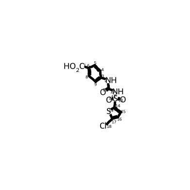 O=C(Nc1ccc(C(=O)O)cc1)NS(=O)(=O)c1ccc(Cl)s1